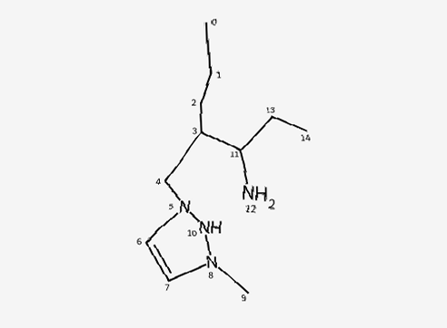 CCCC(CN1C=CN(C)N1)C(N)CC